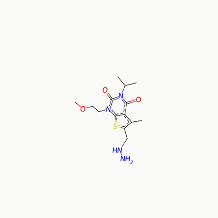 COCCn1c(=O)n(C(C)C)c(=O)c2c(C)c(CNN)sc21